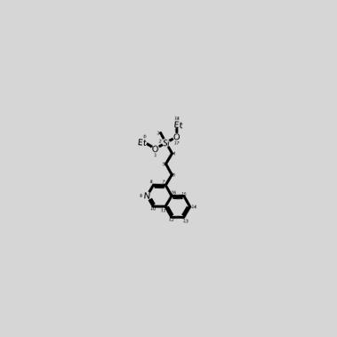 CCO[Si](C)(CCCc1cncc2ccccc12)OCC